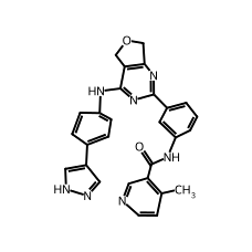 Cc1ccncc1C(=O)Nc1cccc(-c2nc3c(c(Nc4ccc(-c5cn[nH]c5)cc4)n2)COC3)c1